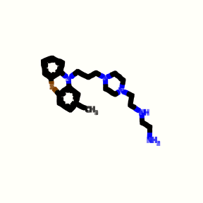 Cc1ccc2c(c1)N(CCCN1CCN(CCNCCN)CC1)c1ccccc1S2